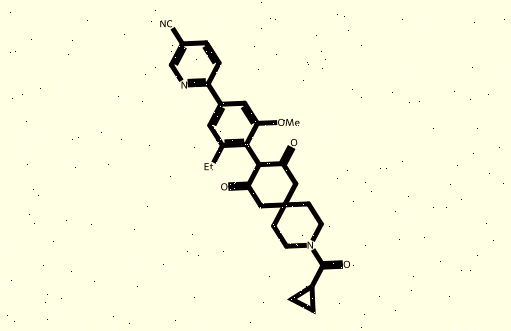 CCc1cc(-c2ccc(C#N)cn2)cc(OC)c1C1C(=O)CC2(CCN(C(=O)C3CC3)CC2)CC1=O